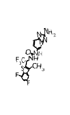 Cc1c([C@@H](NC(=O)Nc2ccc3nc(N)nn3c2)C(F)(F)F)sc2c(F)cc(F)cc12